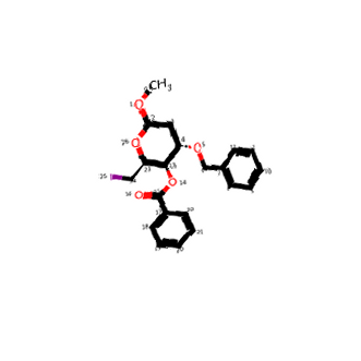 COC1C[C@H](OCc2ccccc2)[C@@H](OC(=O)c2ccccc2)[C@@H](CI)O1